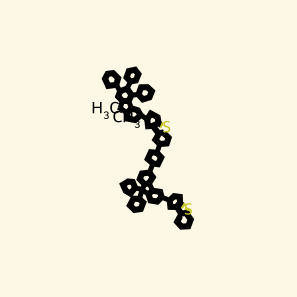 CC1(C)c2ccc(-c3ccc4sc5ccc(-c6ccc(-c7ccc8c(c7)-c7cc(-c9ccc%10sc%11ccccc%11c%10c9)ccc7C8(c7ccccc7)c7ccccc7)cc6)cc5c4c3)cc2-c2c1cc(-c1ccccc1)c(-c1ccccc1)c2-c1ccccc1